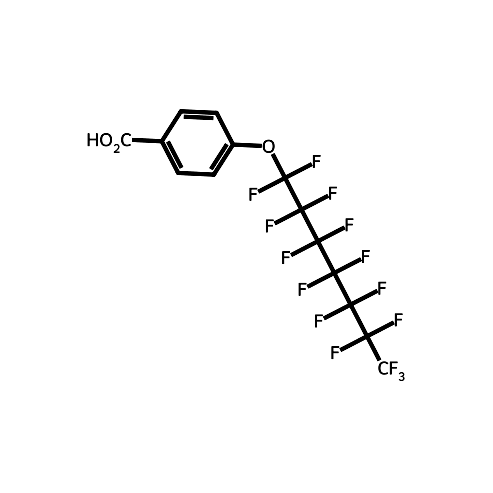 O=C(O)c1ccc(OC(F)(F)C(F)(F)C(F)(F)C(F)(F)C(F)(F)C(F)(F)C(F)(F)F)cc1